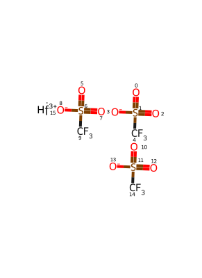 O=S(=O)([O-])C(F)(F)F.O=S(=O)([O-])C(F)(F)F.O=S(=O)([O-])C(F)(F)F.[Hf+3]